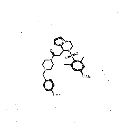 COc1ccc(CN2CCN(C(=O)CC3c4cccn4CCN3S(=O)(=O)c3c(C)cc(OC)cc3C)CC2)cc1